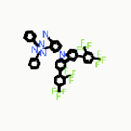 N#Cc1ccc(-n2c3ccc(-c4ccc(C(F)(F)F)cc4C(F)(F)F)cc3c3cc(-c4ccc(C(F)(F)F)cc4C(F)(F)F)ccc32)cc1-c1nc(-c2ccccc2)nc(-c2ccccc2)n1